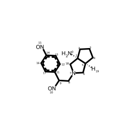 N[C@]12CCC[C@H]1CN(CC(N=O)c1ccc(N=O)cc1)C2